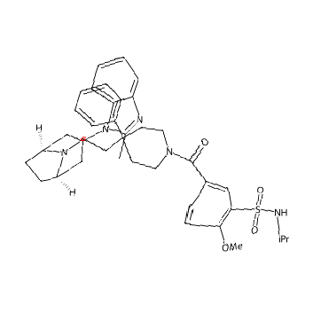 COc1ccc(C(=O)N2CCC(CCN3[C@@H]4CC[C@H]3CC(n3c(C)nc5ccccc53)C4)(c3ccccc3)CC2)cc1S(=O)(=O)NC(C)C